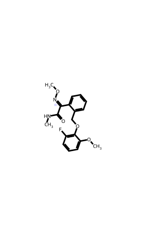 CNC(=O)/C(=N/OC)c1ccccc1COc1c(F)cccc1OC